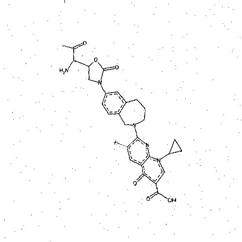 CC(=O)C(N)C1CN(c2ccc3c(c2)CCCN(c2nc4c(cc2F)c(=O)c(C(=O)O)cn4C2CC2)C3)C(=O)O1